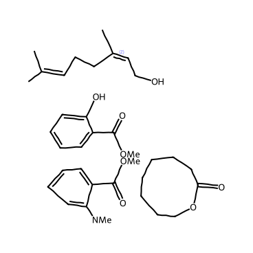 CC(C)=CCC/C(C)=C\CO.CNc1ccccc1C(=O)OC.COC(=O)c1ccccc1O.O=C1CCCCCCCO1